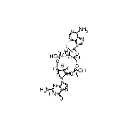 Nc1nc2c(ncn2[C@@H]2O[C@@H]3COP(O)(=S)O[C@H]4[C@@H](F)[C@H](n5cnc6c(N)ncnc65)O[C@@H]4COP(O)(=S)O[C@@H]2[C@@H]3F)c(=O)[nH]1